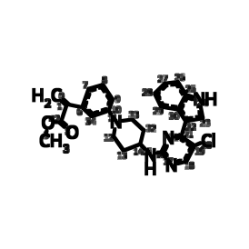 C=C(C(=O)OC)c1cccc(N2CCC(Nc3ncc(Cl)c(-c4c[nH]c5ccccc45)n3)CC2)c1